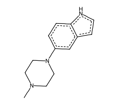 CN1CCN(c2ccc3[nH]ccc3c2)CC1